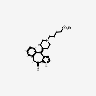 CCOC(=O)CCCCN1CCC(=C2c3ccccc3CC(=O)c3sccc32)CC1